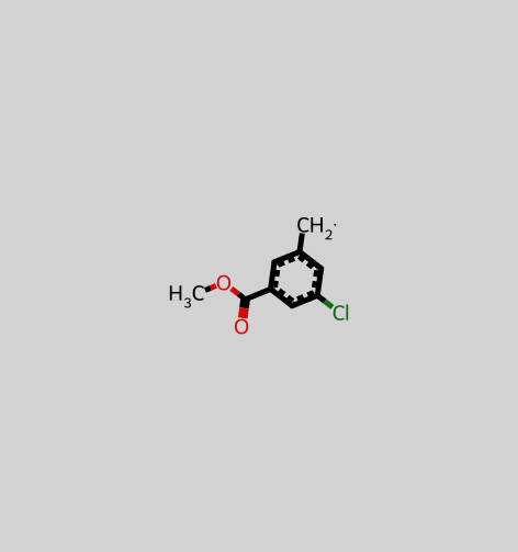 [CH2]c1cc(Cl)cc(C(=O)OC)c1